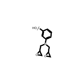 O=C(O)c1cccc(N(CC2CO2)CC2CO2)c1